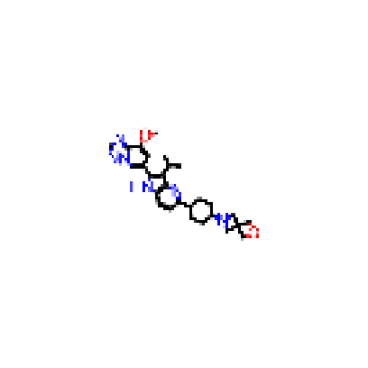 COc1cc(-c2[nH]c3ccc(C4CCC(N5CC6(COC6)C5)CC4)nc3c2C(C)C)cn2ncnc12